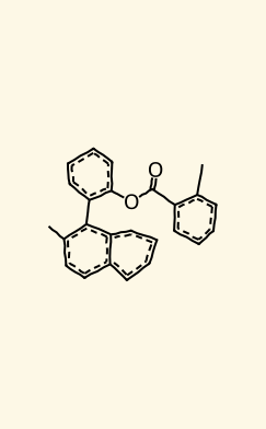 Cc1ccccc1C(=O)Oc1ccccc1-c1c(C)ccc2ccccc12